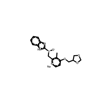 Cc1c(OCC2COCO2)ccnc1C[S+]([O-])c1nc2ccccc2[nH]1.[Na]